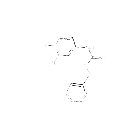 Cc1ccc(NC(=O)OCc2ccccc2)cc1N=O